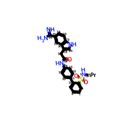 CCCNS(=O)(=O)c1ccccc1-c1ccc(NC(=O)Cc2c[nH]c3ccc(C(=N)N)cc23)cc1